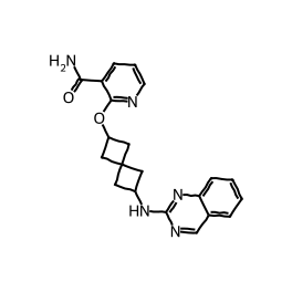 NC(=O)c1cccnc1OC1CC2(CC(Nc3ncc4ccccc4n3)C2)C1